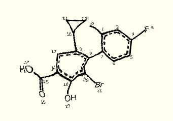 Cc1cc(F)ccc1-c1c(C2CC2)cc(C(=O)O)c(O)c1Br